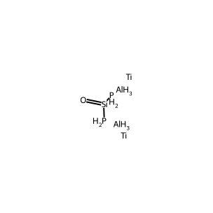 O=[Si](P)P.[AlH3].[AlH3].[Ti].[Ti]